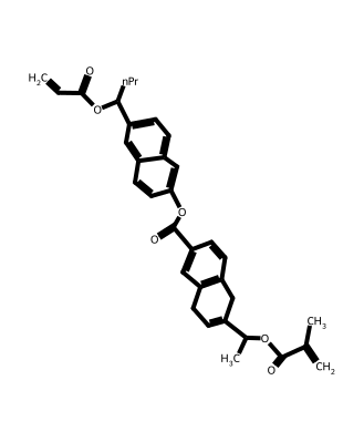 C=CC(=O)OC(CCC)c1ccc2cc(OC(=O)c3ccc4c(c3)CC=C(C(C)OC(=O)C(=C)C)C4)ccc2c1